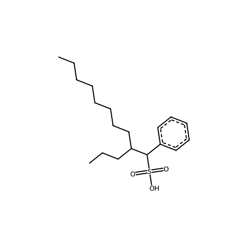 CCCCCCCCC(CCC)C(c1ccccc1)S(=O)(=O)O